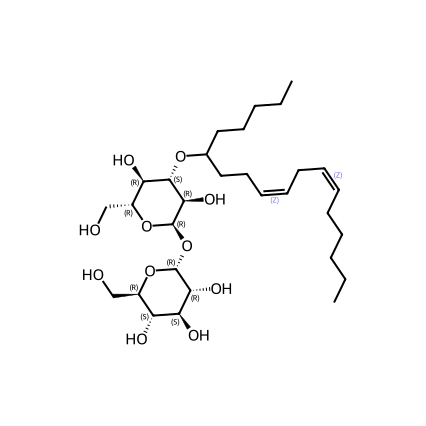 CCCCC/C=C\C/C=C\CCC(CCCCC)O[C@@H]1[C@@H](O)[C@@H](O[C@H]2O[C@H](CO)[C@@H](O)[C@H](O)[C@H]2O)O[C@H](CO)[C@H]1O